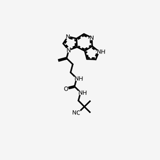 C=C(CCNC(=O)NCC(C)(C)C#N)n1cnc2cnc3[nH]ccc3c21